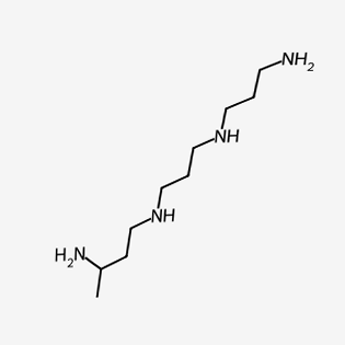 CC(N)CCNCCCNCCCN